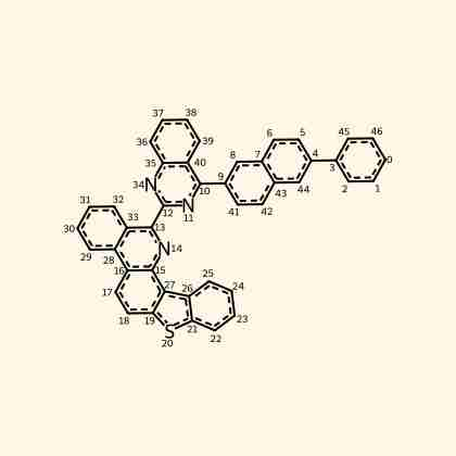 c1ccc(-c2ccc3cc(-c4nc(-c5nc6c(ccc7sc8ccccc8c76)c6ccccc56)nc5ccccc45)ccc3c2)cc1